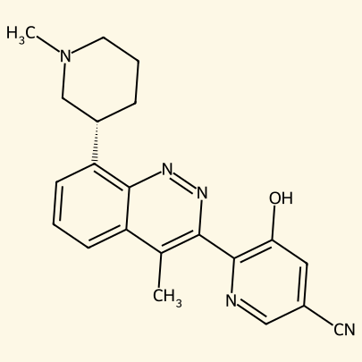 Cc1c(-c2ncc(C#N)cc2O)nnc2c([C@H]3CCCN(C)C3)cccc12